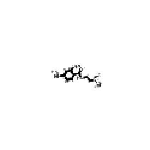 CCN(CC)CCNC(=O)c1ccc(NS)cc1OC